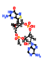 CO[C@H]1[C@H]2OP(=O)(O)OCC34C[C@@H]3[C@@H](n3cnc5c(N)ncnc53)[C@H](O)[C@@H]4OP(C)(=O)OC[C@H]1O[C@H]2c1snc2c(=O)[nH]c(N)nc12